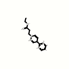 CCOC(=O)CCN1C=CC(c2ncccn2)C=N1